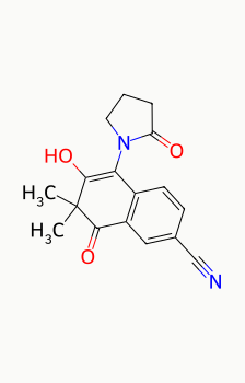 CC1(C)C(=O)c2cc(C#N)ccc2C(N2CCCC2=O)=C1O